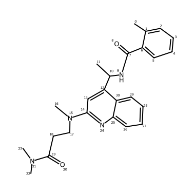 Cc1ccccc1C(=O)NC(C)c1cc(N(C)CCC(=O)N(C)C)nc2ccccc12